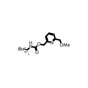 CC[C@H](C)[C@@H](C)NC(=O)OCc1cccc(COC)n1